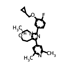 Cc1cc(-c2nc(-c3ccc(F)c(OCC4CC4)c3)n3c2CCO[C@H](C)C3)cc(C)n1